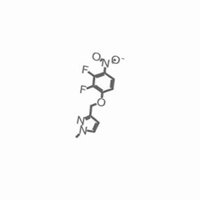 Cn1ccc(COc2ccc([N+](=O)[O-])c(F)c2F)n1